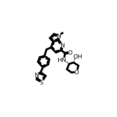 Cn1ccc2c(Cc3ccc(-c4cscn4)cc3)cc(C(=O)N[C@H]3CCOC[C@H]3O)nc21